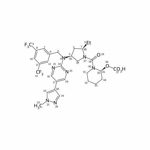 CC[C@@H]1C[C@H](N(Cc2cc(C(F)(F)F)cc(C(F)(F)F)c2)c2ncc(-c3cnn(C)c3)cn2)CN1C(=O)N1CCCC[C@@H]1OC(=O)O